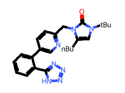 CCCCc1cn(C(C)(C)C)c(=O)n1Cc1ccc(-c2ccccc2-c2nnn[nH]2)cn1